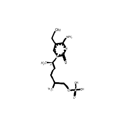 CC(CC[C@@H](C)n1cc(CO)c(N)nc1=O)COP(=O)(O)O